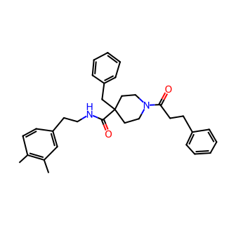 Cc1ccc(CCNC(=O)C2(Cc3ccccc3)CCN(C(=O)CCc3ccccc3)CC2)cc1C